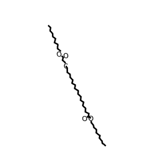 CCCCCCCCCCOC(=O)CCCCCCCCCCCCCCCCCCCCC(=O)OCCCCCCCCCC